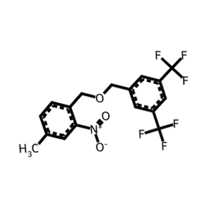 Cc1ccc(COCc2cc(C(F)(F)F)cc(C(F)(F)F)c2)c([N+](=O)[O-])c1